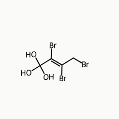 OC(O)(O)C(Br)=C(Br)CBr